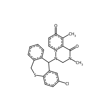 Cc1c2n(ccc1=O)N(C1c3ccccc3CSc3ccc(Cl)cc31)CN(C)C2=O